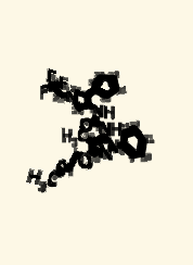 COCCOc1nn(-c2ccccc2)c(NC(=O)NC2CN(CC(F)(F)F)CC2c2ccccc2)c1C